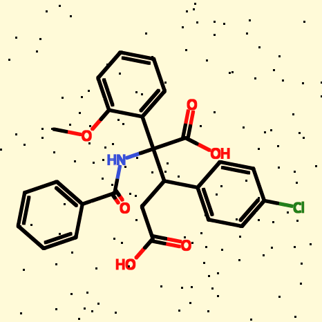 COc1ccccc1C(NC(=O)c1ccccc1)(C(=O)O)C(CC(=O)O)c1ccc(Cl)cc1